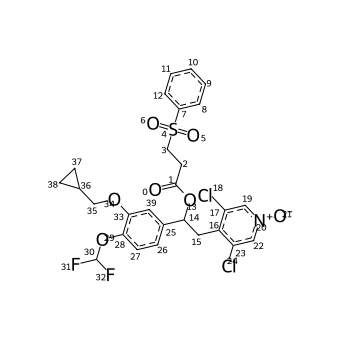 O=C(CCS(=O)(=O)c1ccccc1)OC(Cc1c(Cl)c[n+]([O-])cc1Cl)c1ccc(OC(F)F)c(OCC2CC2)c1